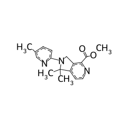 COC(=O)c1nccc2c1CN(c1ccc(C)cn1)C2(C)C